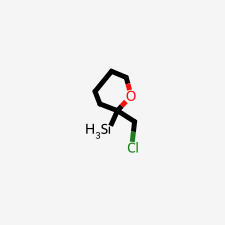 [SiH3]C1(CCl)CCCCO1